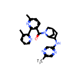 Cc1ccc(C(=O)N2CC3CC(Nc4cnc(C(F)(F)F)cn4)C2C3)c(-c2ncccc2C)n1